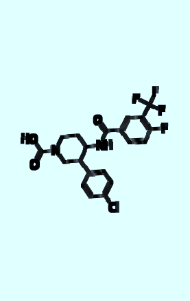 O=C(NC1CCN(C(=O)O)CC1c1ccc(Cl)cc1)c1ccc(F)c(C(F)(F)F)c1